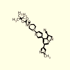 Cn1cc(-c2cc(-c3ccc(N4CCS(=O)(=NC(=O)OC(C)(C)C)CC4)nc3)c3c(C#N)cnn3c2)cn1